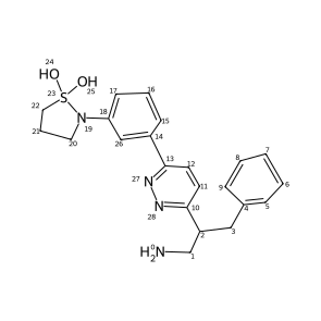 NCC(Cc1ccccc1)c1ccc(-c2cccc(N3CCCS3(O)O)c2)nn1